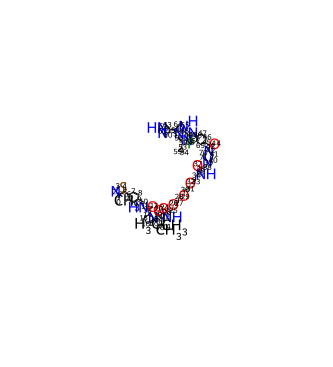 Cc1ncsc1-c1ccc(CNC(=O)[C@@H]2CCCN2C(=O)[C@@H](NC(=O)COCCOCCOCCNC(=O)CN2CCN(C(=O)c3ccc(Nc4nc(C5CC5)cn5c(-c6cn[nH]c6)cnc45)c(F)c3)CC2)C(C)(C)C)cc1